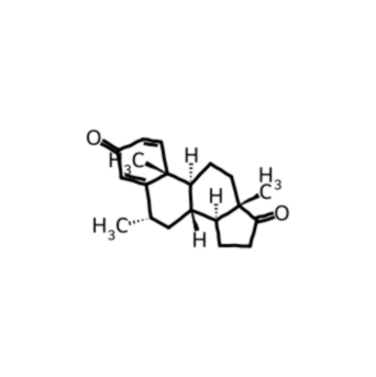 C[C@H]1C[C@@H]2[C@H](CC[C@]3(C)C(=O)CC[C@@H]23)[C@@]2(C)C=CC(=O)C=C12